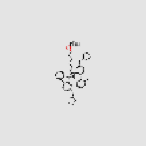 Cc1ccccc1-c1ccc(CC2CCCC2)cc1[Si](C)(CCCCCCOC(C)(C)C)C1c2ccccc2-c2ccc(CC3CCCC3)cc21